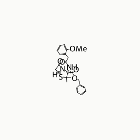 COc1ccccc1CC(=O)N[C@@]1(C(=O)OCc2ccccc2)N2C(=O)C[C@H]2SC1(C)C